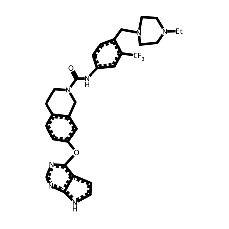 CCN1CCN(Cc2ccc(NC(=O)N3CCc4ccc(Oc5ncnc6[nH]ccc56)cc4C3)cc2C(F)(F)F)CC1